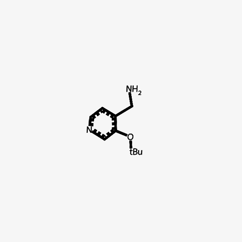 CC(C)(C)Oc1cnccc1CN